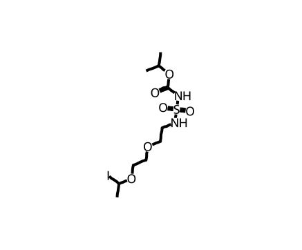 CC(C)OC(=O)NS(=O)(=O)NCCOCCOC(C)I